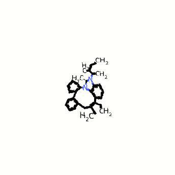 C=C/C=C(/C)C(=C)N1c2cccc3c2N(c2ccccc2-c2ccccc2C/C(C=C)=C\3C=C)[C@@H]1C